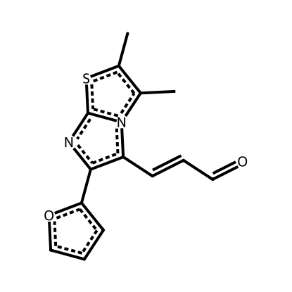 Cc1sc2nc(-c3ccco3)c(C=CC=O)n2c1C